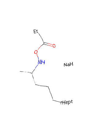 CCCCCCCCCCC(C)NOC(=O)CC.[NaH]